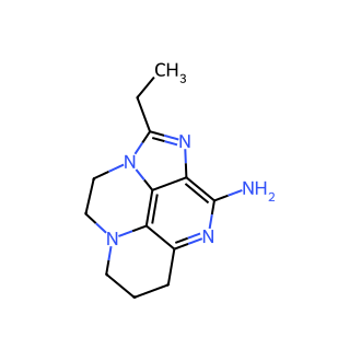 CCc1nc2c(N)nc3c4c2n1CCN4CCC3